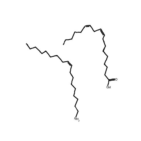 CCCCC/C=C\C/C=C\CCCCCCCC(=O)O.CCCCCCCC/C=C\CCCCCCCCN